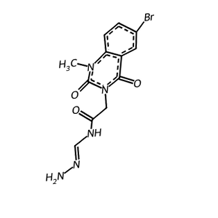 Cn1c(=O)n(CC(=O)NC=NN)c(=O)c2cc(Br)ccc21